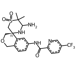 CC1(C)C(N)N[C@@]2(COCc3ccc(NC(=O)c4ccc(C(F)(F)F)cn4)cc32)CS1(=O)=O